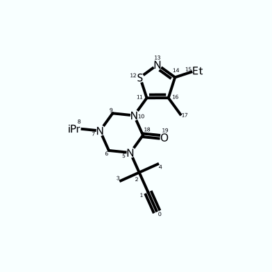 C#CC(C)(C)N1CN(C(C)C)CN(c2snc(CC)c2C)C1=O